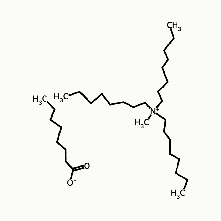 CCCCCCCC(=O)[O-].CCCCCCCC[N+](C)(CCCCCCCC)CCCCCCCC